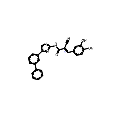 N#C/C(=C\c1ccc(O)c(O)c1)C(=O)Nc1nc(-c2cccc(-c3ccccc3)c2)cs1